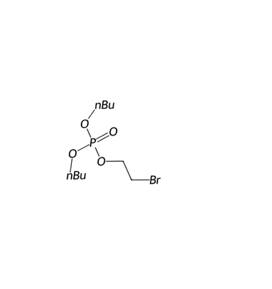 CCCCOP(=O)(OCCBr)OCCCC